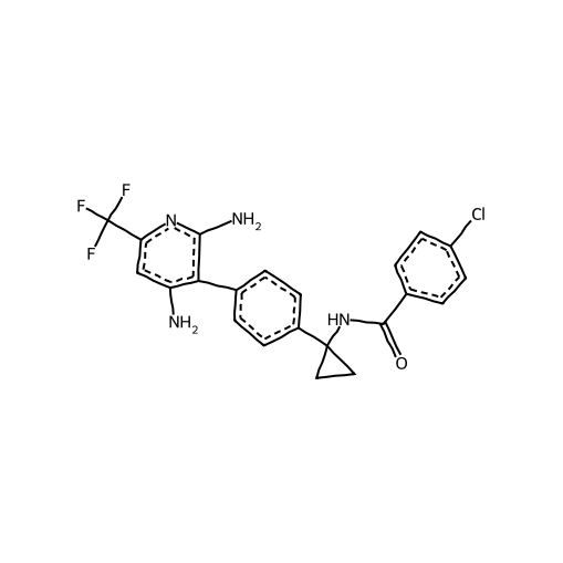 Nc1cc(C(F)(F)F)nc(N)c1-c1ccc(C2(NC(=O)c3ccc(Cl)cc3)CC2)cc1